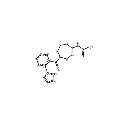 O=C(O)NC1CCCN(C(=O)c2ccccc2-n2nccn2)CC1